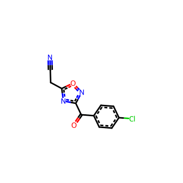 N#CCc1nc(C(=O)c2ccc(Cl)cc2)no1